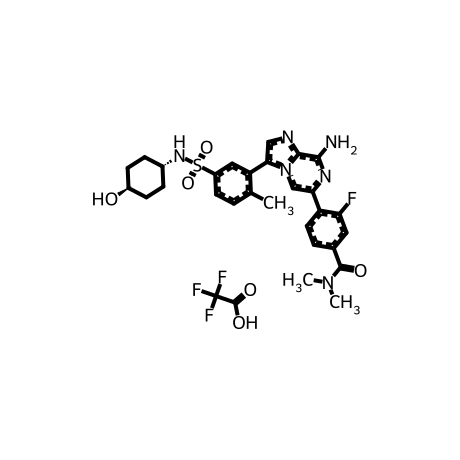 Cc1ccc(S(=O)(=O)N[C@H]2CC[C@H](O)CC2)cc1-c1cnc2c(N)nc(-c3ccc(C(=O)N(C)C)cc3F)cn12.O=C(O)C(F)(F)F